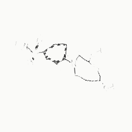 CC1CN(c2ccc(S(N)(=O)=O)cc2)CC[C@H](O)S1